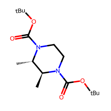 C[C@H]1[C@H](C)N(C(=O)OC(C)(C)C)CCN1C(=O)OC(C)(C)C